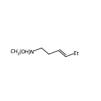 CCC=CCCN(C)O